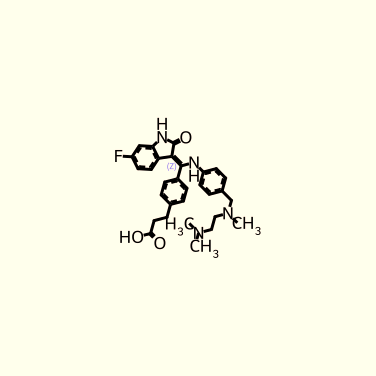 CN(C)CCN(C)Cc1ccc(N/C(=C2\C(=O)Nc3cc(F)ccc32)c2ccc(CCC(=O)O)cc2)cc1